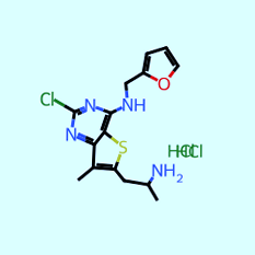 Cc1c(CC(C)N)sc2c(NCc3ccco3)nc(Cl)nc12.Cl.Cl